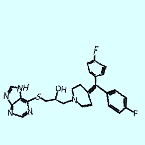 OC(CSc1ncnc2nc[nH]c12)CN1CCC(=C(c2ccc(F)cc2)c2ccc(F)cc2)CC1